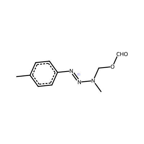 Cc1ccc(/N=N/N(C)COC=O)cc1